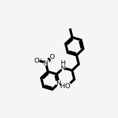 Cc1ccc(CC(CO)Nc2ncccc2[N+](=O)[O-])cc1